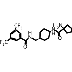 NC1(C(=O)N[C@H]2CC[C@H](CNC(=O)c3cc(C(F)(F)F)cc(C(F)(F)F)c3)CC2)CCCC1